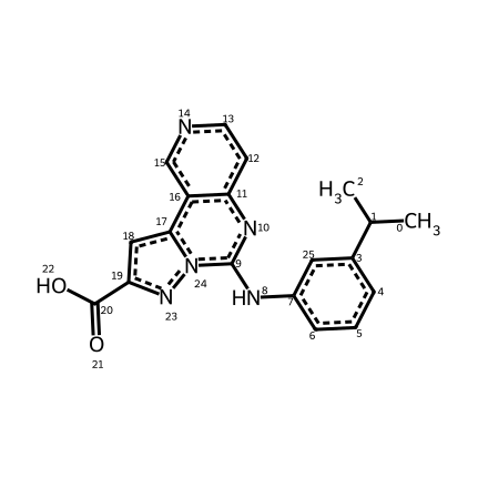 CC(C)c1cccc(Nc2nc3ccncc3c3cc(C(=O)O)nn23)c1